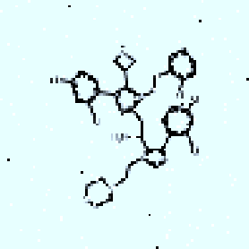 NC(Cc1nc(-c2ccc(Cl)cc2Cl)c(C2CNC2)n1CCc1ccccc1Cl)c1c(-c2ccc(Cl)cc2Cl)ncn1CCN1CCOCC1